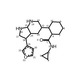 O=C(NC1CC1)C1CCCCC1C1CNC2NCC(c3ccoc3)C2C1